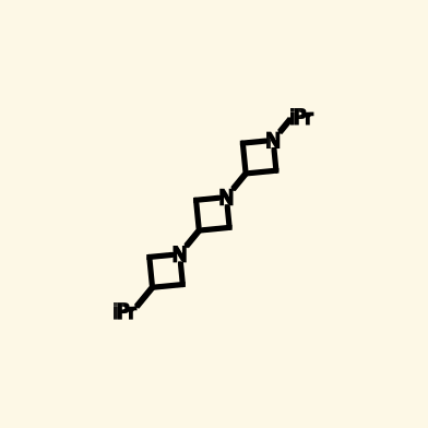 CC(C)C1CN(C2CN(C3CN(C(C)C)C3)C2)C1